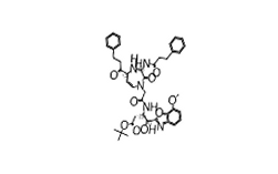 COc1cccc2nc([C@H](O)[C@H](CC(=O)OC(C)(C)C)NC(=O)CN3C=C[C@@H](C(=O)CCc4ccccc4)N[C@@H](NC(=O)CCc4ccccc4)C3=O)oc12